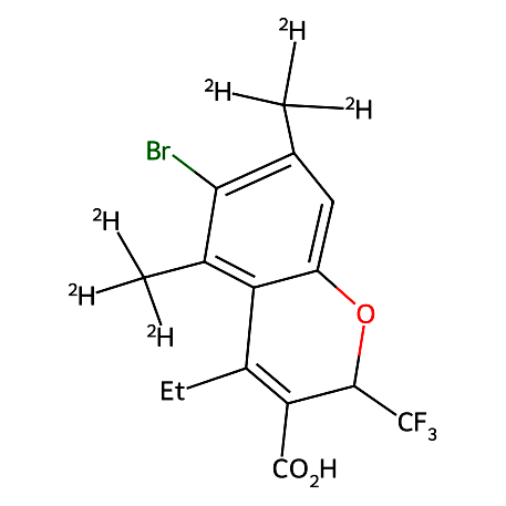 [2H]C([2H])([2H])c1cc2c(c(C([2H])([2H])[2H])c1Br)C(CC)=C(C(=O)O)C(C(F)(F)F)O2